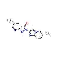 Cc1c(-n2c(=O)c3cc(C(F)(F)F)cnc3n2C)nc2ccc(C(F)(F)F)cn12